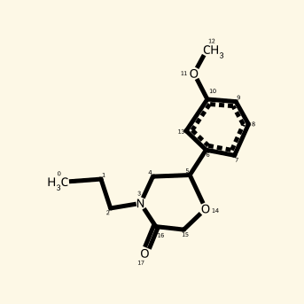 CCCN1CC(c2cccc(OC)c2)OCC1=O